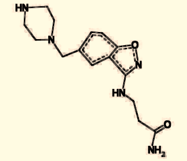 NC(=O)CCNc1noc2ccc(CN3CCNCC3)cc12